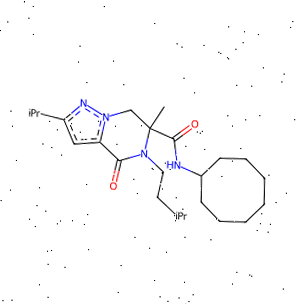 CC(C)CCN1C(=O)c2cc(C(C)C)nn2CC1(C)C(=O)NC1CCCCCCC1